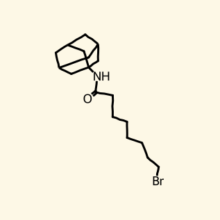 O=C(CCCCCCCBr)NC12CC3CC(CC(C3)C1)C2